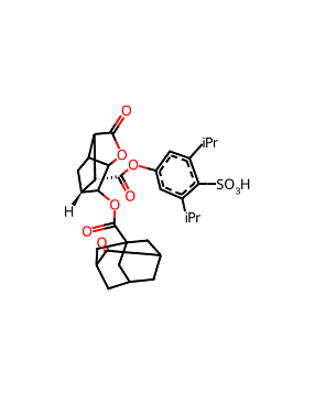 CC(C)c1cc(OC(=O)[C@H]2C3C(=O)OC4C3C[C@H]2C4OC(=O)C23CC4CC(C2)C(=O)C(C4)C3)cc(C(C)C)c1S(=O)(=O)O